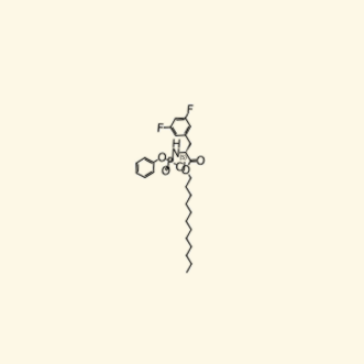 CCCCCCCCCCCCOC(=O)[C@H](Cc1cc(F)cc(F)c1)NP(=O)(Cl)Oc1ccccc1